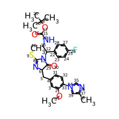 COc1cc(CC2N=C(SC)N(C(CNC(=O)OC(C)(C)C)c3ccc(F)cc3)C2=O)ccc1-n1cnc(C)c1